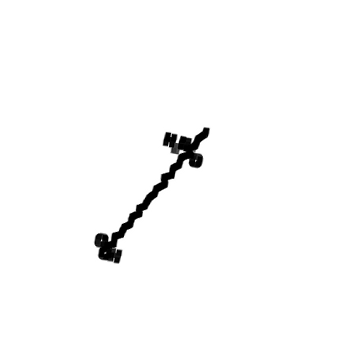 CCCC[C@H](N)C(=O)CCCCCCCCCCCCCCCCCCC(=O)O